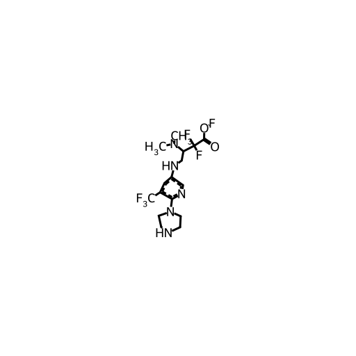 CN(C)C(CNc1cnc(N2CCNCC2)c(C(F)(F)F)c1)C(F)(F)C(=O)OF